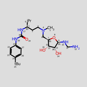 CC(C)[C@@H](CCN(C)C[C@H]1O[C@@H](NCN)[C@H](O)[C@@H]1O)NC(=O)Nc1ccc(C(C)(C)C)cc1